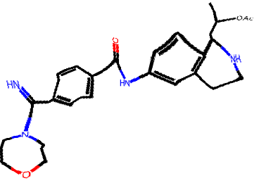 CC(=O)OC(C)C1NCCc2cc(NC(=O)c3ccc(C(=N)N4CCOCC4)cc3)ccc21